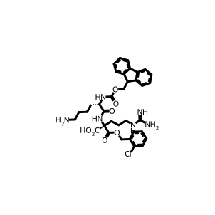 N=C(N)NCCC[C@](NC(=O)[C@H](CCCCN)NC(=O)OCC1c2ccccc2-c2ccccc21)(C(=O)O)C(=O)OCc1ccccc1Cl